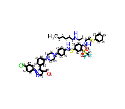 CCCCCCNCC[C@H](CSC1=CCCC=C1)Nc1ccc(SNc2ccc(N3CCN(c4cccc(-c5c(C=O)cnn5-c5ccc(Cl)cc5)c4)CC3)cc2)cc1S(=O)(=O)C(F)(F)F